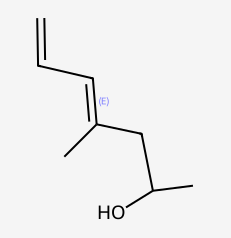 C=C/C=C(\C)CC(C)O